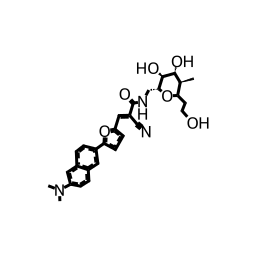 C[C@H]1C(CCO)O[C@H](CNC(=O)/C(C#N)=C/c2ccc(-c3ccc4cc(N(C)C)ccc4c3)o2)[C@@H](O)[C@@H]1O